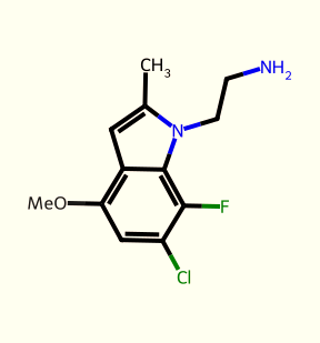 COc1cc(Cl)c(F)c2c1cc(C)n2CCN